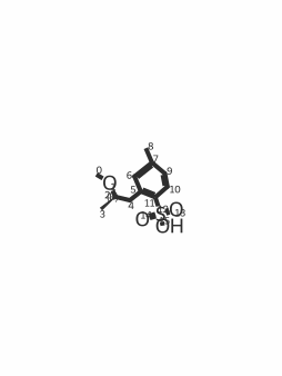 CO[C@H](C)Cc1cc(C)ccc1S(=O)(=O)O